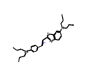 CCCN(CCC)c1ccc(/C=C/c2nc3ccc(N(CCC)CCC)cc3s2)cc1